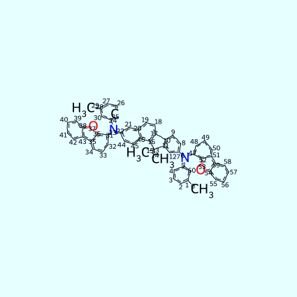 Cc1cccc(N(c2ccc3c(c2)C(C)(C)c2c-3ccc3cc(N(c4cccc(C)c4)c4cccc5c4oc4ccccc45)ccc23)c2cccc3c2oc2ccccc23)c1